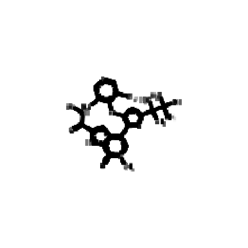 Cc1cncc(C)c1Oc1cc(C(C)(C)C(C)(C)O)sc1-c1cn(C)c(=O)c2[nH]c(C(=O)NC(C)C)cc12